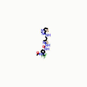 CC(=O)Nc1ccc(NC(=O)Nc2ncc(CCNc3ncnc4ccsc34)s2)cc1C(F)(F)F